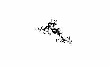 CC(C)C#Cc1ccc(C(F)(F)F)nc1Nc1ccc2c(cnn2COCC[Si](C)(C)C)c1